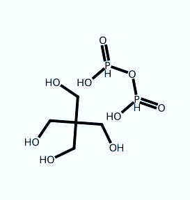 O=[PH](O)O[PH](=O)O.OCC(CO)(CO)CO